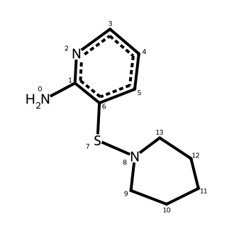 Nc1ncccc1SN1CCCCC1